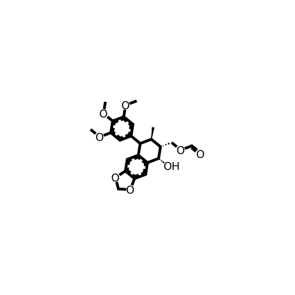 COc1cc(C2c3cc4c(cc3[C@@H](O)[C@@H](COC=O)[C@@H]2C)OCO4)cc(OC)c1OC